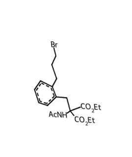 CCOC(=O)C(Cc1ccccc1CCCBr)(NC(C)=O)C(=O)OCC